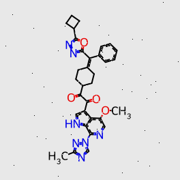 COc1cnc(-n2cnc(C)n2)c2[nH]cc(C(=O)C(=O)C3CCC(=C(c4ccccc4)c4nnc(C5CCC5)o4)CC3)c12